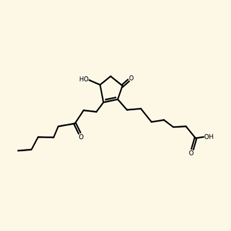 CCCCCC(=O)CCC1=C(CCCCCCC(=O)O)C(=O)CC1O